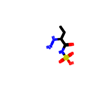 C[CH]C(NN)C(=O)NS(=O)(=O)O